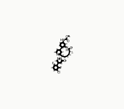 COC(=O)Nc1ccc2c(c1)NC(=O)[C@H](C)CCC[C@H](n1ncc(-c3c(F)ccc(Cl)c3F)cc1=O)c1cc-2ccn1